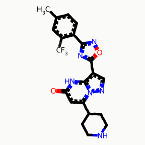 Cc1ccc(-c2noc(-c3cnn4c(C5CCNCC5)cc(=O)[nH]c34)n2)c(C(F)(F)F)c1